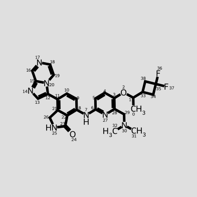 CC(Oc1ccc(Nc2ccc(-c3cnc4cnccn34)c3c2C(=O)NC3)nc1CN(C)C)C1CC(F)(F)C1